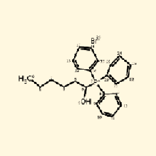 CCCCCC(O)[P+](c1ccccc1)(c1ccccc1)c1ccccc1.[Br-]